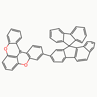 c1ccc2c(c1)Oc1cccc3c1B2c1ccc(-c2ccc4c(c2)C2(c5ccccc5-c5ccccc52)c2c-4ccc4ccccc24)cc1O3